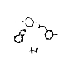 CN1CC[C@@H](NC(=O)Cc2cccc(F)c2)C[C@@H]1c1nc2ccccc2[nH]1.O=C(O)C(F)(F)F